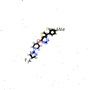 CSc1ccc(-c2csc3c(OC4CCN(c5ncc(C(F)(F)F)cn5)CC4)ncnc23)c(F)c1